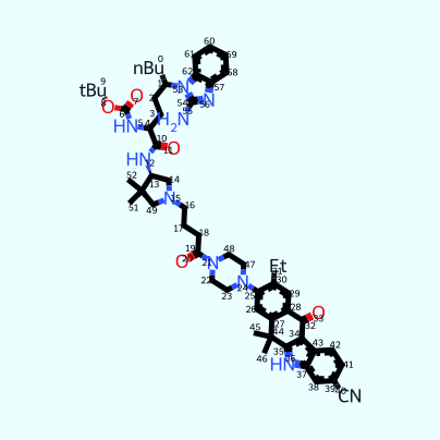 CCCCC(CCC(NC(=O)OC(C)(C)C)C(=O)N[C@H]1CN(CCCC(=O)N2CCN(c3cc4c(cc3CC)C(=O)c3c([nH]c5cc(C#N)ccc35)C4(C)C)CC2)CC1(C)C)n1c(N)nc2ccccc21